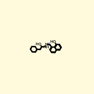 Oc1cccc2cccc(/C=N\NC(O)CC3CCCCC3)c12